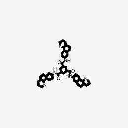 O=C(Nc1ccc2c(ccc3cccnc32)c1)c1cc(C(=O)Nc2ccc3c(ccc4cccnc43)c2)cc(C(=O)Nc2ccc3c(ccc4cccnc43)c2)c1